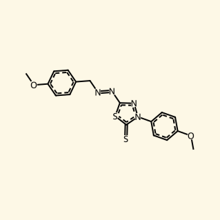 COc1ccc(CN=Nc2nn(-c3ccc(OC)cc3)c(=S)s2)cc1